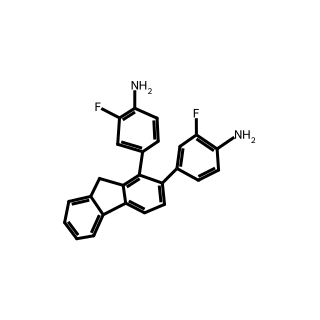 Nc1ccc(-c2ccc3c(c2-c2ccc(N)c(F)c2)Cc2ccccc2-3)cc1F